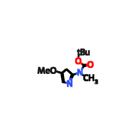 COC1=CN=C(N(C)C(=O)OC(C)(C)C)C1